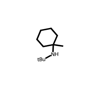 CC(C)(C)NC1(C)CCCCC1